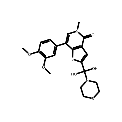 COc1ccc(-c2cn(C)c(=O)c3cc(C(O)(O)N4CCSCC4)sc23)cc1OC